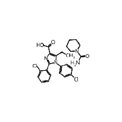 CCc1c(C(=O)O)nc(-c2ccccc2Cl)n1-c1ccc(Cl)cc1.NC(=O)N1CCCCC1